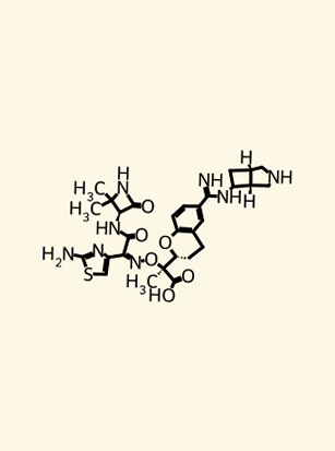 CC1(C)NC(=O)[C@H]1NC(=O)/C(=N\O[C@](C)(C(=O)O)[C@H]1CCc2cc(C(=N)NC3C[C@@H]4CNC[C@H]34)ccc2O1)c1csc(N)n1